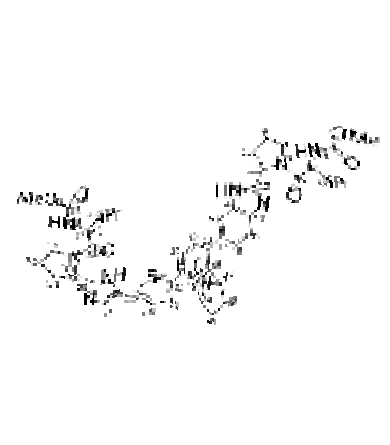 COC(=O)N[C@H](C(=O)N1CCCC1c1nc2ccc(-c3ccc(-c4ccc(-c5cnc([C@@H]6CCCN6C(=O)[C@@H](NC(=O)OC)C(C)C)[nH]5)s4)c4c3C3CCC4N3C)cc2[nH]1)C(C)C